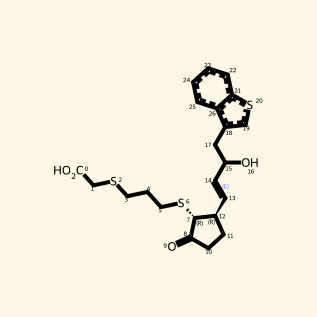 O=C(O)CSCCCS[C@H]1C(=O)CC[C@@H]1/C=C/C(O)Cc1csc2ccccc12